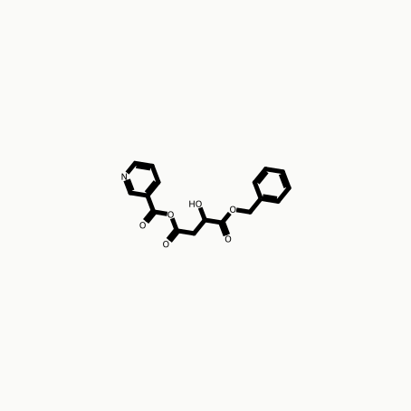 O=C(CC(O)C(=O)OCc1ccccc1)OC(=O)c1cccnc1